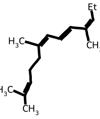 [CH2]CC=C(C)C=CC=C(C)CCC=C(C)C